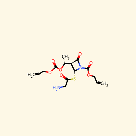 C=CCOC(=O)O[C@H](C)[C@H]1C(=O)N(C(=O)OCC=C)[C@@H]1SC(=O)CN